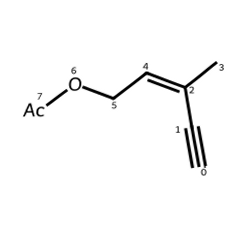 [C]#CC(C)=CCOC(C)=O